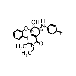 CCN(CC)C(=O)C1=C[C@H](Oc2ccccc2I)[C@@H](O)[C@H](NC2=CCC(F)C=C2)C1